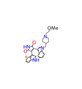 COCCN1CCC(Cn2cc(C3=C(c4c[nH]c5ccsc45)C(=O)NC3=O)c3ccccc32)CC1